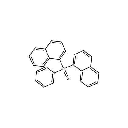 S=P(c1ccccc1)(c1cccc2ccccc12)c1cccc2ccccc12